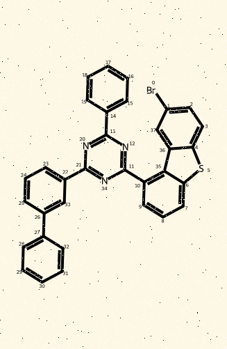 Brc1ccc2sc3cccc(-c4nc(-c5ccccc5)nc(-c5cccc(-c6ccccc6)c5)n4)c3c2c1